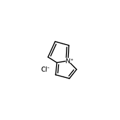 C1=CC2=CC=C[N+]2=C1.[Cl-]